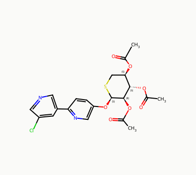 CC(=O)O[C@@H]1[C@@H](OC(C)=O)[C@@H](Oc2ccc(-c3cncc(Cl)c3)nc2)SC[C@H]1OC(C)=O